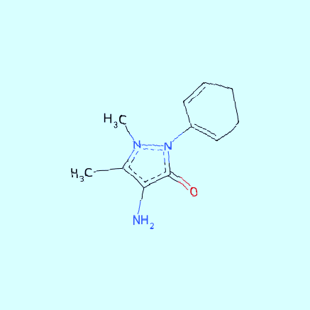 Cc1c(N)c(=O)n(C2=CCCC=C2)n1C